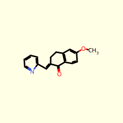 COc1ccc2c(c1)CC/C(=C\c1ccccn1)C2=O